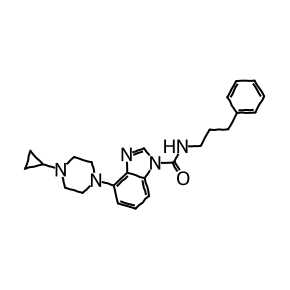 O=C(NCCCc1ccccc1)n1cnc2c(N3CCN(C4CC4)CC3)cccc21